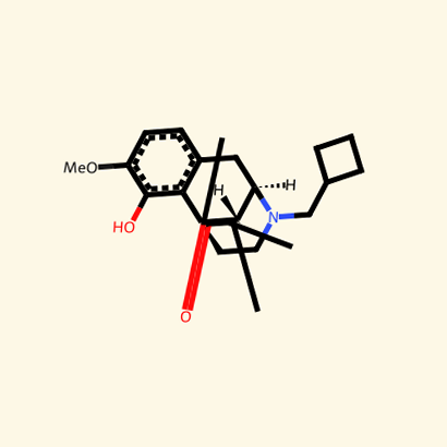 COc1ccc2c(c1O)[C@]13CCN(CC4CCC4)[C@H](C2)[C@@H]1C(C)C(C)C(=O)C3